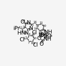 CC(C)c1[nH]n(-c2c(Cl)cc(Cl)cc2Cl)c2nc(Cc3ccc(NS(=O)(=O)NC(=O)OC(C)(C)C)cc3)nc(=O)c1-2